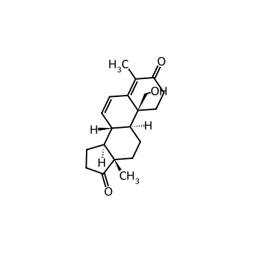 CC1=C2C=C[C@@H]3[C@H](CC[C@]4(C)C(=O)CC[C@@H]34)[C@@]2(CO)CCC1=O